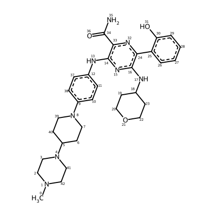 CN1CCN(C2CCN(c3ccc(Nc4nc(NC5CCOCC5)c(-c5ccccc5O)nc4C(N)=O)cc3)CC2)CC1